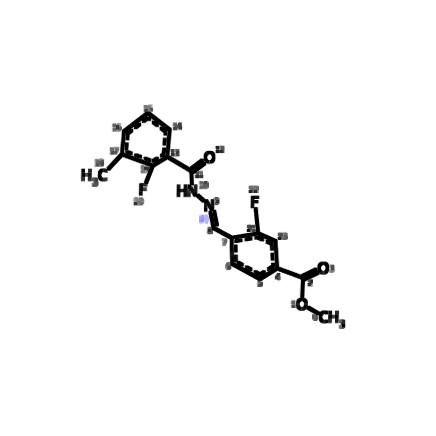 COC(=O)c1ccc(/C=N/NC(=O)c2cccc(C)c2F)c(F)c1